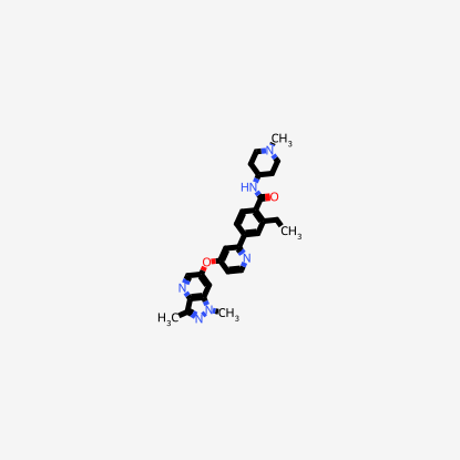 CCc1cc(-c2cc(Oc3cnc4c(C)nn(C)c4c3)ccn2)ccc1C(=O)NC1CCN(C)CC1